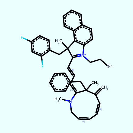 C=C1/C=C\C=C/CN(C)/C(=C/C=C/C2=[N+](CCC(C)C)c3ccc4ccccc4c3C2(C)Cc2ccc(F)cc2F)C1(C)Cc1ccccc1